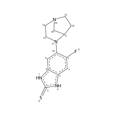 Fc1cc2[nH]c(=S)[nH]c2cc1N1CCN2CCC1C2